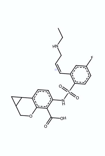 CCNC/C=C\c1cc(F)ccc1S(=O)(=O)Nc1ccc2c(c1C(=O)O)OCC1CC21